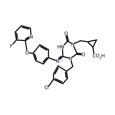 O=C(O)C1CC1Cn1c(=O)[nH]/c(=N\c2ccc(Oc3ncccc3F)cc2)n(Cc2ccc(Cl)cc2)c1=O